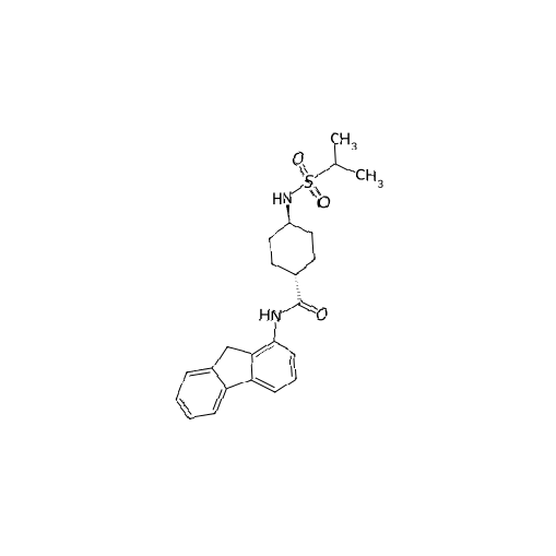 CC(C)S(=O)(=O)N[C@H]1CC[C@H](C(=O)Nc2cccc3c2Cc2ccccc2-3)CC1